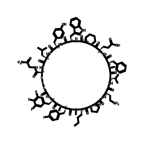 CCCC[C@H]1C(=O)N2CCC[C@@H]2C(=O)N[C@@H](CCN)C(=O)N[C@@H](C(C)C)C(=O)N(C)[C@@H](Cc2ccccc2)C(=O)N[C@@H](CCC(=O)O)C(=O)N2CCCC[C@@H]2C(=O)N[C@@H](Cc2c[nH]c3ccccc23)C(=O)N[C@@H](Cc2ccc(O)cc2)C(=O)N[C@@H](CC(C)C)C(=O)N[C@H](C(=O)NCC(N)=O)CSCC(=O)N[C@@H](Cc2cc(F)c(F)c(F)c2)C(=O)N(C)[C@@H](Cc2ccc(F)cc2)C(=O)N1C